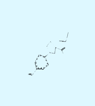 CCC[C@@]1(C(=O)O)CC[C@H](c2ccc(C=O)cc2)C1